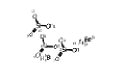 B.O=[Si]([O-])[O-].O=[Si]([O-])[O-].O=[Si]([O-])[O-].[Fe+3].[Fe+3]